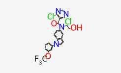 O=C(c1c(Cl)ncnc1Cl)N(CCO)c1ccc2c(ccn2-c2cccc(OC(F)(F)F)c2)c1